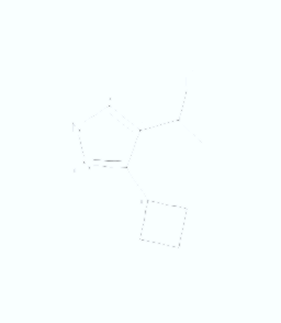 FC(F)C1=C[N]N=C1C1CCC1